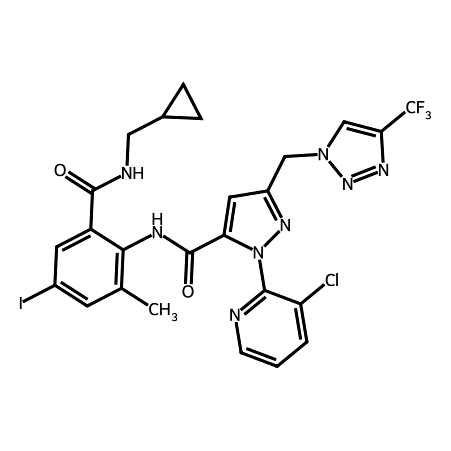 Cc1cc(I)cc(C(=O)NCC2CC2)c1NC(=O)c1cc(Cn2cc(C(F)(F)F)nn2)nn1-c1ncccc1Cl